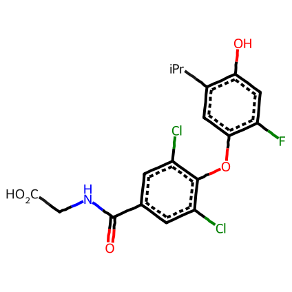 CC(C)c1cc(Oc2c(Cl)cc(C(=O)NCC(=O)O)cc2Cl)c(F)cc1O